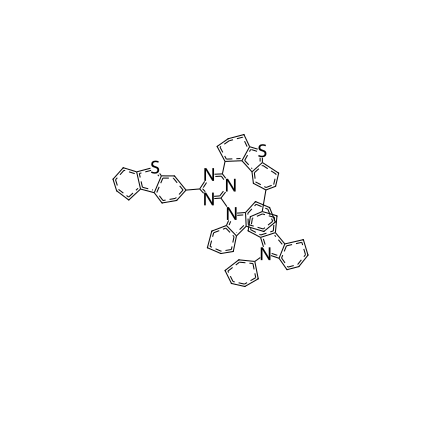 c1ccc(-n2c3ccccc3c3cc(-c4ccc5sc6cccc(-c7nc(-c8ccc9c(c8)sc8ccccc89)nc(-n8c9ccccc9c9ccccc98)n7)c6c5c4)ccc32)cc1